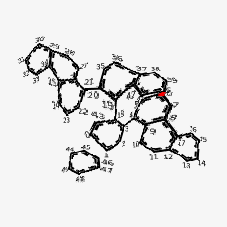 c1ccc(-c2cccc3c2ccc2ccccc23)c(-c2c(-c3cccc4c3ccc3ccccc34)ccc3ccccc23)c1.c1ccccc1